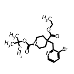 CCOC(=O)C1(Cc2ncccc2Br)CCN(C(=O)OC(C)(C)C)CC1